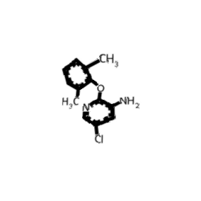 Cc1cccc(C)c1Oc1ncc(Cl)cc1N